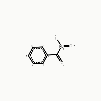 O=[C](c1ccccc1)[Pb](=[O])[F]